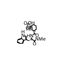 CNC(=O)[C@H](Cc1c[nH]c2ccccc12)NC(=O)[C@@H]1CCC[C@@H](P(=O)(O)O)N1